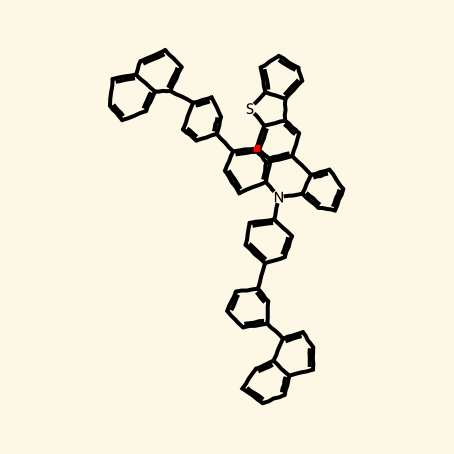 c1cc(-c2ccc(N(c3ccc(-c4ccc(-c5cccc6ccccc56)cc4)cc3)c3ccccc3-c3ccc4sc5ccccc5c4c3)cc2)cc(-c2cccc3ccccc23)c1